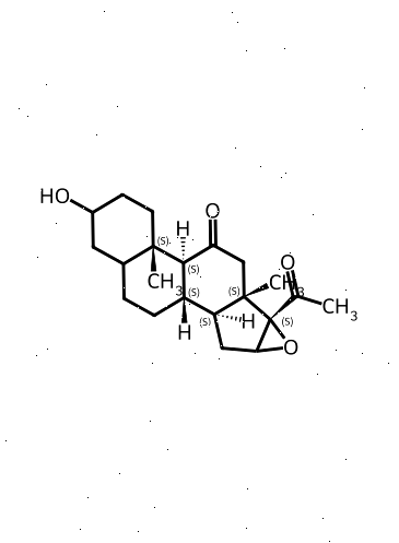 CC(=O)[C@@]12OC1C[C@H]1[C@@H]3CCC4CC(O)CC[C@]4(C)[C@H]3C(=O)C[C@@]12C